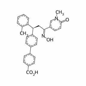 Cc1ccccc1[C@@H](CC(=NO)c1ccc(=O)n(C)c1)c1ccc(-c2ccc(C(=O)O)cc2)cc1